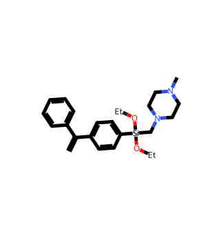 C=C(c1ccccc1)c1ccc([Si](CN2CCN(C)CC2)(OCC)OCC)cc1